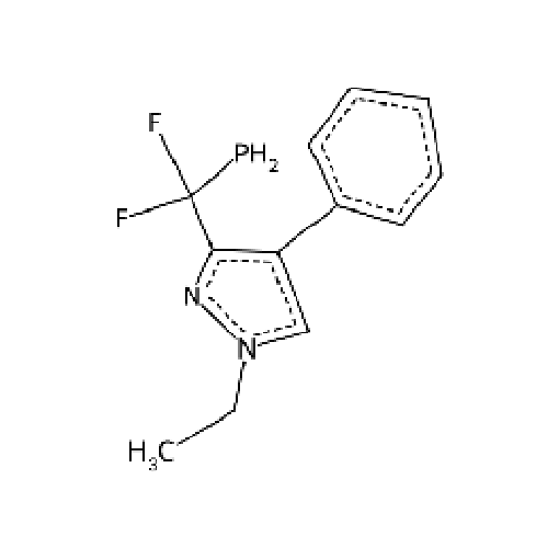 CCn1cc(-c2ccccc2)c(C(F)(F)P)n1